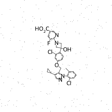 Cc1cccc(Cl)c1-n1ncc(C2CC2)c1COc1ccc(C2(O)CN(c3ncc(C(=O)O)cc3F)C2)c(Cl)c1